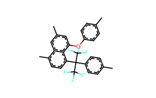 Cc1ccc(Oc2cc(C)cc3c(C)ccc(C(c4ccc(C)cc4)(C(F)(F)F)C(F)(F)F)c23)cc1